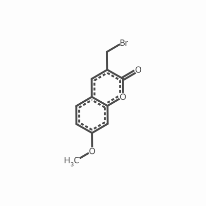 COc1ccc2cc(CBr)c(=O)oc2c1